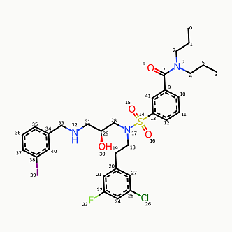 CCCN(CCC)C(=O)c1cccc(S(=O)(=O)N(CCc2cc(F)cc(Cl)c2)C[C@@H](O)CNCc2cccc(I)c2)c1